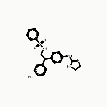 Cl.O=S(=O)(NCC(c1ccccc1)c1ccc(NC2=NCCN2)cc1)c1ccccc1